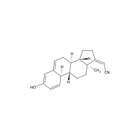 C[C@]12CC[C@H]3[C@@H](CC=C4C=C(O)C=C[C@@H]43)[C@@H]1CC/C2=C/C#N